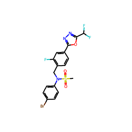 CS(=O)(=O)N(Cc1ccc(-c2nnc(C(F)F)o2)cc1F)c1ccc(Br)cc1